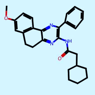 COc1ccc2c(c1)CCc1nc(NC(=O)CC3CCCCC3)c(-c3ccccc3)nc1-2